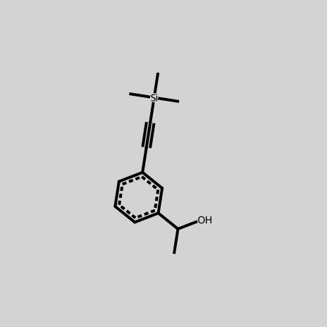 CC(O)c1cccc(C#C[Si](C)(C)C)c1